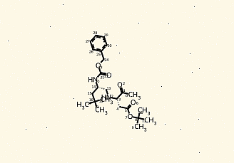 CC(=O)[C@H](CC(=O)OC(C)(C)C)NC[C@H](CC(C)(C)C)NC(=O)OCc1ccccc1